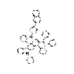 c1ccc(-c2c(-c3ccccc3)c3cc(N(c4ccc(-c5ccc6ccccc6c5)cc4)c4ccccc4-c4cccc5c4c4ccccc4n5-c4ccccc4)ccc3c3ccccc23)cc1